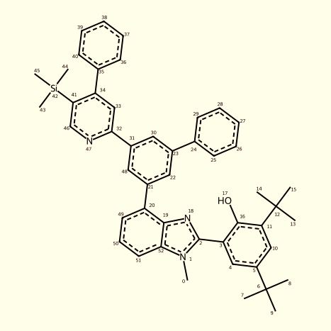 Cn1c(-c2cc(C(C)(C)C)cc(C(C)(C)C)c2O)nc2c(-c3cc(-c4ccccc4)cc(-c4cc(-c5ccccc5)c([Si](C)(C)C)cn4)c3)cccc21